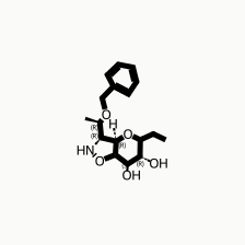 CCC1O[C@H]2C(ON[C@@H]2[C@@H](C)OCc2ccccc2)[C@@H](O)[C@H]1O